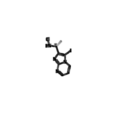 C[C@@H](NCl)c1nc2ncccn2c1I